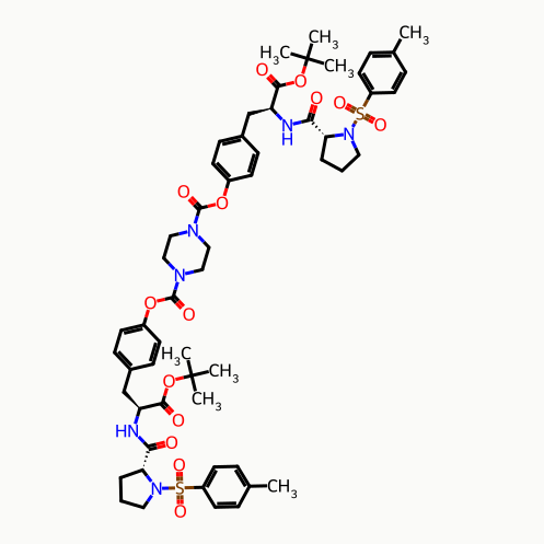 Cc1ccc(S(=O)(=O)N2CCC[C@@H]2C(=O)N[C@@H](Cc2ccc(OC(=O)N3CCN(C(=O)Oc4ccc(C[C@H](NC(=O)[C@H]5CCCN5S(=O)(=O)c5ccc(C)cc5)C(=O)OC(C)(C)C)cc4)CC3)cc2)C(=O)OC(C)(C)C)cc1